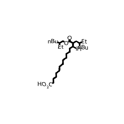 CCCCC(CC)COC(=O)C(CC(CC)CCCC)C(CCCCCCCCCCCCC(=O)O)C(C)C